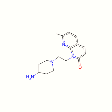 Cc1ccc2ccc(=O)n(CCN3CCC(N)CC3)c2n1